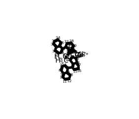 CCC1=C2c3c(-c4cccc5ccccc45)cccc3[CH]1[Zr+2][CH]1C(CC)=C(c3c(-c4cccc5ccccc45)cccc31)[Si]2(C)C.[Cl-].[Cl-]